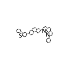 c1ccc(-c2ccc3ccc4ccc(-c5ccc6c(ccc7cc(-c8ccc9sc%10ccccc%10c9c8)ccc76)c5)nc4c3n2)cc1